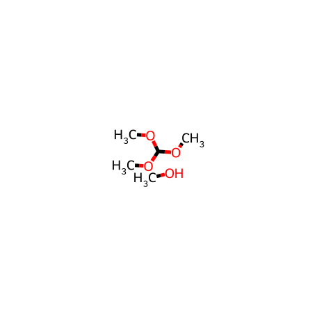 CO.COC(OC)OC